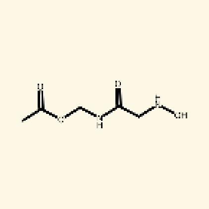 CC(=O)OCNC(=O)CNO